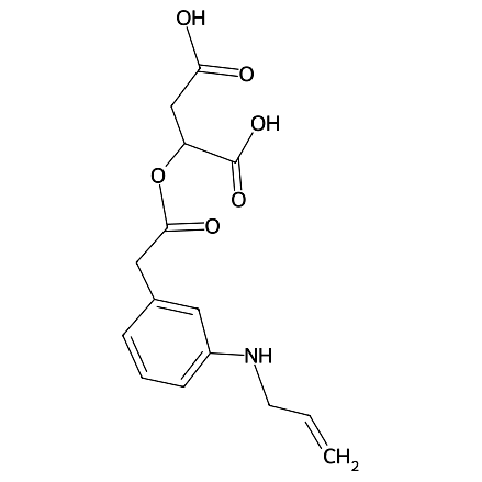 C=CCNc1cccc(CC(=O)OC(CC(=O)O)C(=O)O)c1